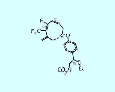 C=C1CC[C@@H](Oc2ccc([C@H](CC(=O)O)OCC)cc2)C/C=C\C(F)=C/1C(F)(F)F